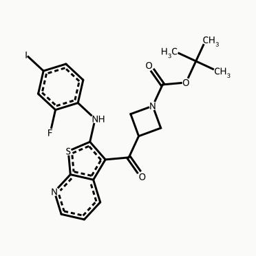 CC(C)(C)OC(=O)N1CC(C(=O)c2c(Nc3ccc(I)cc3F)sc3ncccc23)C1